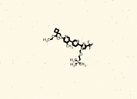 CCOC(=O)C1(COc2cc(C)c(-c3ccc(-c4nc(C(F)(F)F)cn4COCC[Si](C)(C)C)nc3)cn2)CCC1